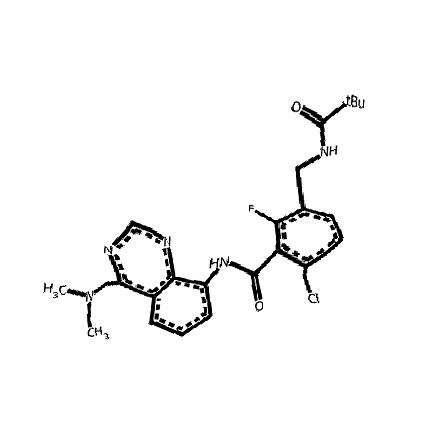 CN(C)c1ncnc2c(NC(=O)c3c(Cl)ccc(CNC(=O)C(C)(C)C)c3F)cccc12